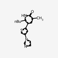 CCCCc1[nH]c(=O)c(C)cc1-c1cc(-n2ccnc2)cs1